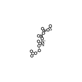 C=Nc1c(/[N+](=C\C)c2ccc3c(c2)c2ccccc2n3-c2ccc3c(c2)c2ccccc2n3-c2ccc3sc4ccccc4c3c2)c2ccccc2c2ccc(-c3cccc(-c4ccc5c6ccccc6c6ccccc6c5c4)c3)cc12